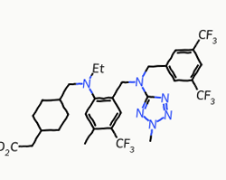 CCN(CC1CCC(CC(=O)O)CC1)c1cc(C)c(C(F)(F)F)cc1CN(Cc1cc(C(F)(F)F)cc(C(F)(F)F)c1)c1nnn(C)n1